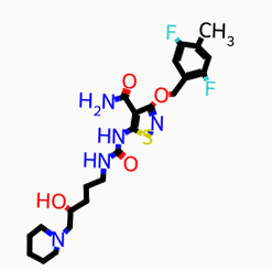 Cc1cc(F)c(COc2nsc(NC(=O)NCCCC(O)CN3CCCCC3)c2C(N)=O)cc1F